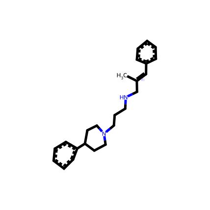 C/C(=C\c1ccccc1)CNCCCN1CCC(c2ccccc2)CC1